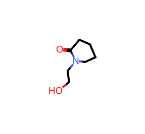 O=C1CCCCN1CCO